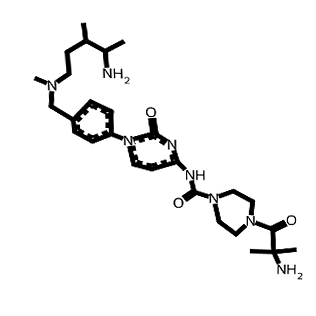 CC(N)C(C)CCN(C)Cc1ccc(-n2ccc(NC(=O)N3CCN(C(=O)C(C)(C)N)CC3)nc2=O)cc1